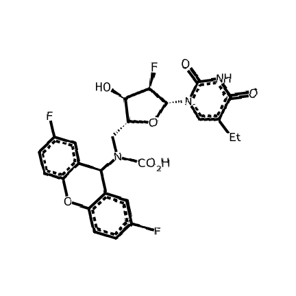 CCc1cn([C@@H]2O[C@H](CN(C(=O)O)C3c4cc(F)ccc4Oc4ccc(F)cc43)[C@@H](O)[C@H]2F)c(=O)[nH]c1=O